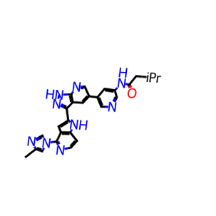 Cc1cn(-c2nccc3[nH]c(-c4n[nH]c5ncc(-c6cncc(NC(=O)CC(C)C)c6)cc45)cc23)cn1